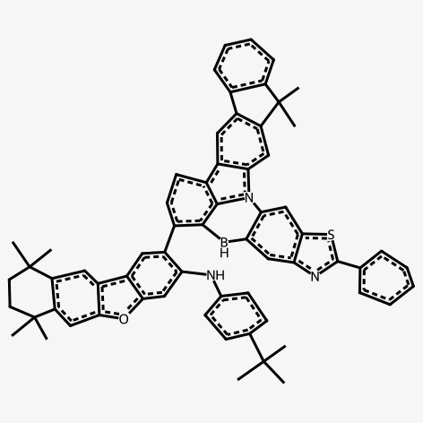 CC(C)(C)c1ccc(Nc2cc3oc4cc5c(cc4c3cc2-c2ccc3c4cc6c(cc4n4c3c2Bc2cc3nc(-c7ccccc7)sc3cc2-4)C(C)(C)c2ccccc2-6)C(C)(C)CCC5(C)C)cc1